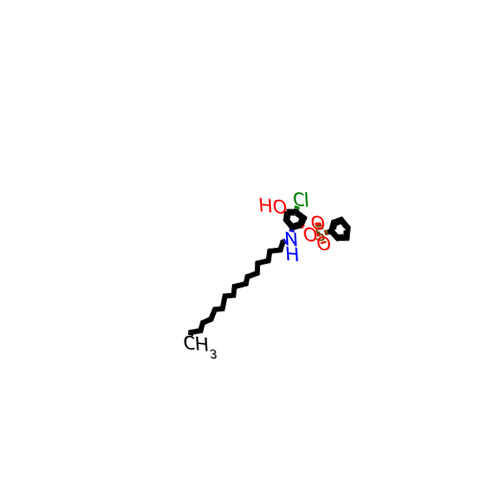 CCCCCCCCCCCCCCCCCCNc1cc(O)c(Cl)cc1OS(=O)(=O)c1ccccc1